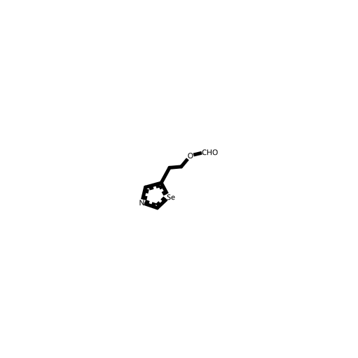 O=COCCc1cnc[se]1